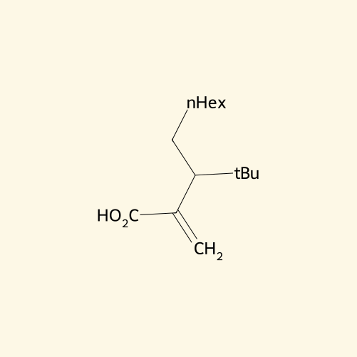 C=C(C(=O)O)C(CCCCCCC)C(C)(C)C